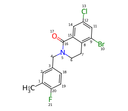 Cc1cc(CN2CCc3c(Br)cc(Cl)cc3C2=O)ccc1F